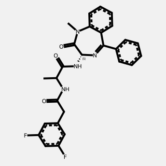 CC(NC(=O)Cc1cc(F)cc(F)c1)C(=O)N[C@H]1N=C(c2ccccc2)c2ccccc2N(C)C1=O